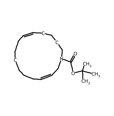 CC(C)(C)OC(=O)N1CC=CCCCCCCC=CCCCC1